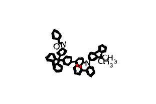 CC1(C)c2ccccc2-c2ccc(N(c3ccc(-c4ccc(C5(c6ccc7nc(-c8ccccc8)oc7c6)c6ccccc6-c6ccccc65)cc4)cc3)c3ccccc3-c3ccccc3)cc21